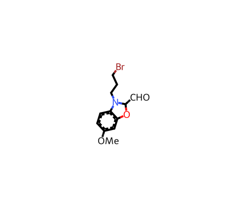 COc1ccc2c(c1)OC(C=O)N2CCCBr